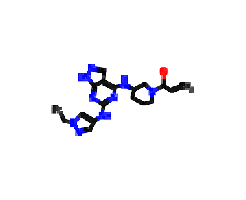 C=CC(=O)N1CCC[C@@H](Nc2nc(Nc3cnn(CC(C)C)c3)nc3[nH]ncc23)C1